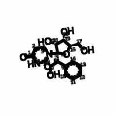 O=c1ccn([C@]2(C(CO)c3ccccc3)O[C@H](CO)[C@@H](O)[C@H]2O)c(=O)[nH]1